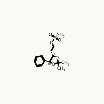 CC1(C)O[C@@H](CCOS(N)(=O)=O)[C@H](c2ccccc2)O1